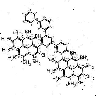 Bc1c(B)c2c(B)c(B)c3c(B)c(B)c(-c4cccc(-c5cc(-c6cccc(-c7ccccc7)c6)cc(-c6c(B)c(B)c7c(B)c(B)c8c(B)c(B)c(B)c9c(B)c(B)c6c7c89)c5)c4)c4c(B)c(B)c(c1B)c2c34